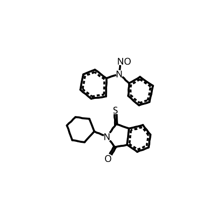 O=C1c2ccccc2C(=S)N1C1CCCCC1.O=NN(c1ccccc1)c1ccccc1